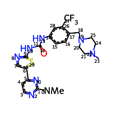 CNc1nccc(-c2cnc(NC(=O)Nc3ccc(CN4CCN(C)CC4)c(C(F)(F)F)c3)s2)n1